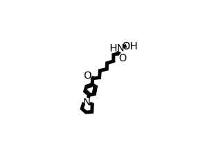 O=C(CCCCCCC(=O)c1ccc(N2CCCCC2)cc1)NO